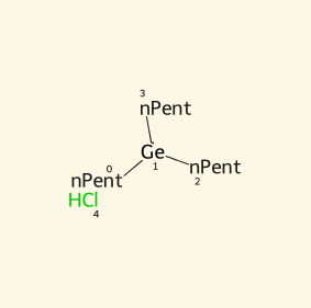 CCCC[CH2][Ge]([CH2]CCCC)[CH2]CCCC.Cl